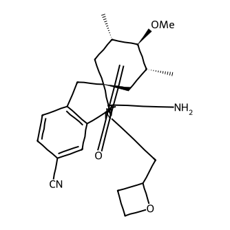 CO[C@H]1[C@H](C)C[C@@]2(Cc3ccc(C#N)cc3[C@]23N=C(N)N(CC2CCO2)C3=O)C[C@@H]1C